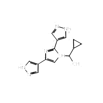 CC(C1CC1)[SH]1C=C(c2cn[nH]c2)N=C1c1cn[nH]c1